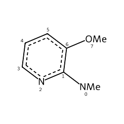 CNc1ncccc1OC